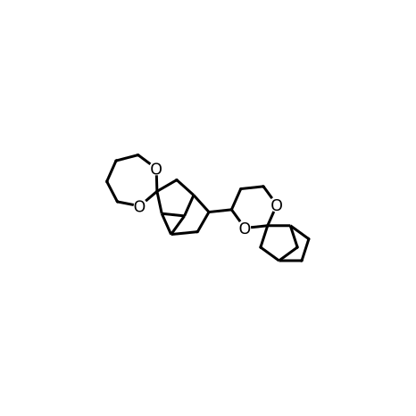 C1CCOC2(CC3C(C4CCOC5(CC6CCC5C6)O4)CC4C3C42)OC1